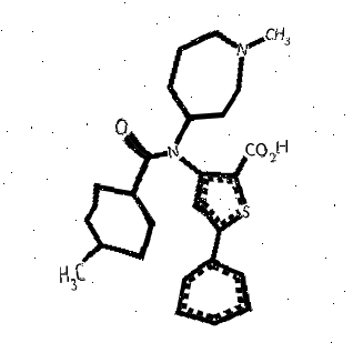 CC1CCC(C(=O)N(c2cc(-c3ccccc3)sc2C(=O)O)C2CCCN(C)CC2)CC1